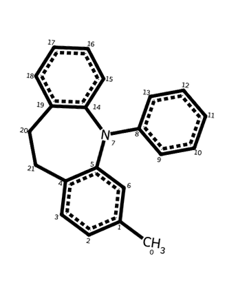 Cc1ccc2c(c1)N(c1ccccc1)c1ccccc1CC2